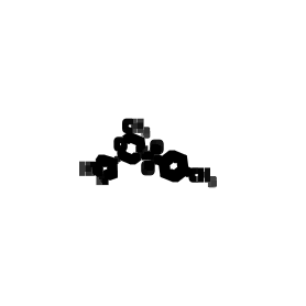 Cc1ccc(S(=O)(=O)N2C[C@@H](C)O[C@@H](c3cn[nH]c3)C2)cc1